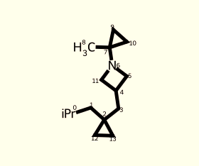 CC(C)CC1(CC2CN(C3(C)CC3)C2)CC1